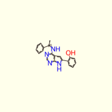 C[C@@H](Nc1ncnc2[nH]c(-c3ccccc3O)cc12)c1ccccc1